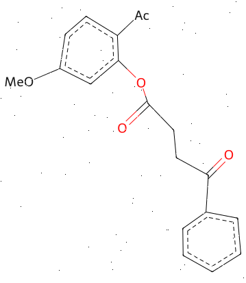 COc1ccc(C(C)=O)c(OC(=O)CCC(=O)c2ccccc2)c1